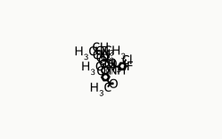 CC(=O)c1ccc2c(c1)[C@H](NC(=O)c1ccc(F)c(Cl)c1)[C@H](OC(=O)CN(C)C(=O)OC(C)(C)C)C(C)(C)O2